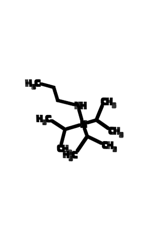 CCCN[Si](C(C)C)(C(C)C)C(C)C